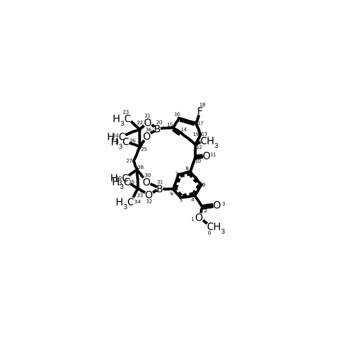 COC(=O)c1cc2cc(c1)C(=O)C1(C)C=C(C=C(F)C1)B1OC(C)(C)C(C)(CC3(C)OB2OC3(C)C)O1